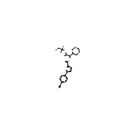 CCC(C)(C)NC(=O)C(NC(=O)c1ccc(-c2ccc(C#N)cc2)o1)C1CCCCC1